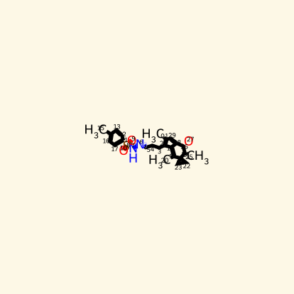 CC1=C(CC/C=N/NS(=O)(=O)c2ccc(C)cc2)C2=C(C)C3(CC3)[C@H](C)C(=O)C2=C1